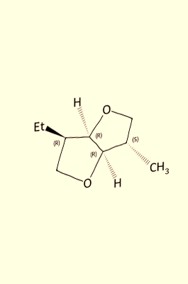 CC[C@@H]1CO[C@H]2[C@@H]1OC[C@@H]2C